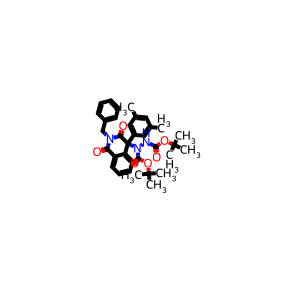 Cc1cc(C)cc(C2(N(NC(=O)OC(C)(C)C)C(=O)OC(C)(C)C)C(=O)N(Cc3ccccc3)C(=O)c3ccccc32)c1